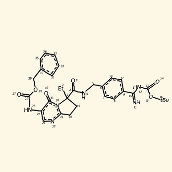 CCC1(C(=O)NCc2ccc(C(=N)NC(=O)OC(C)(C)C)cc2)CCc2ncc(NC(=O)OCc3ccccc3)c(=O)n21